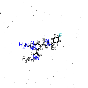 CC[C@@H](c1ccc(F)cc1)n1cc(-c2cc(-c3cnn(CC(F)(F)F)c3)n3nc(N)nc3c2)cn1